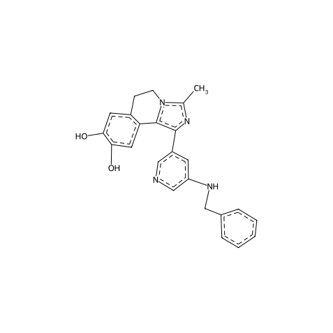 Cc1nc(-c2cncc(NCc3ccccc3)c2)c2n1CCc1cc(O)c(O)cc1-2